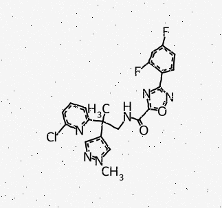 Cn1cc(C(C)(CNC(=O)c2nc(-c3ccc(F)cc3F)no2)c2cccc(Cl)n2)cn1